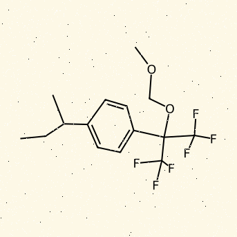 CCC(C)c1ccc(C(OCOC)(C(F)(F)F)C(F)(F)F)cc1